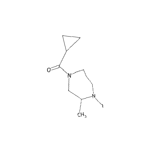 CC1CN(C(=O)C2CC2)CCN1I